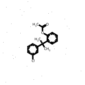 CC(=O)Oc1ccccc1C(C)(C)c1cccc(Cl)c1